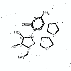 C1CCOC1.C1CCOC1.Nc1ccn([C@@H]2O[C@H](CO)[C@@H](O)[C@H]2O)c(=O)n1